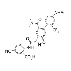 CC(=O)Nc1ccc(-c2cc3onc(C(=O)Nc4ccc(C#N)cc4C(=O)O)c3cc2C(=O)N(C)C)c(C(F)(F)F)c1